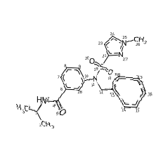 CC(C)NC(=O)c1cccc(N(Cc2ccccc2)S(=O)(=O)c2ccn(C)n2)c1